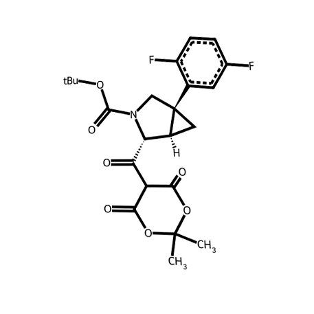 CC(C)(C)OC(=O)N1C[C@]2(c3cc(F)ccc3F)C[C@H]2[C@@H]1C(=O)C1C(=O)OC(C)(C)OC1=O